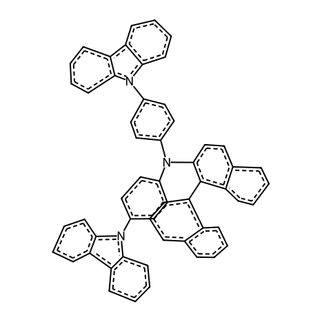 c1ccc2c(-c3c(N(c4ccc(-n5c6ccccc6c6ccccc65)cc4)c4ccc(-n5c6ccccc6c6ccccc65)cc4)ccc4ccccc34)cccc2c1